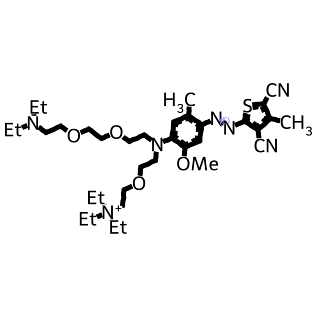 CCN(CC)CCOCCOCCN(CCOCC[N+](CC)(CC)CC)c1cc(C)c(/N=N/c2sc(C#N)c(C)c2C#N)cc1OC